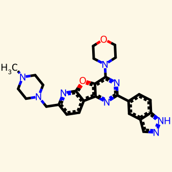 CN1CCN(Cc2ccc3c(n2)oc2c(N4CCOCC4)nc(-c4ccc5[nH]ncc5c4)nc23)CC1